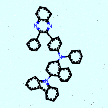 c1ccc(-c2nc3ccccc3nc2-c2ccc(N(c3ccccc3)c3ccc(-n4c5ccccc5c5ccccc54)c4ccccc34)cc2)cc1